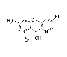 CCc1cnc(C(O)c2ccc(C)cc2Br)c(Cl)c1